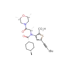 C[C@@H]1CN(C(=O)[C@H](C)N(c2cc(C#CC(C)(C)C)sc2C(=O)O)C(=O)[C@H]2CC[C@H](C)CC2)C[C@H](C)O1